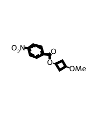 CO[C@H]1C[C@H](OC(=O)c2ccc([N+](=O)[O-])cc2)C1